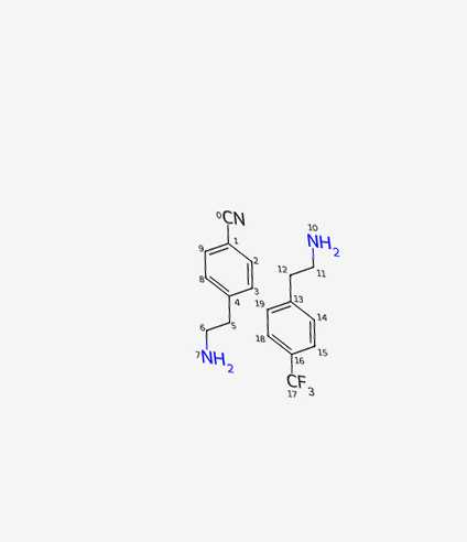 N#Cc1ccc(CCN)cc1.NCCc1ccc(C(F)(F)F)cc1